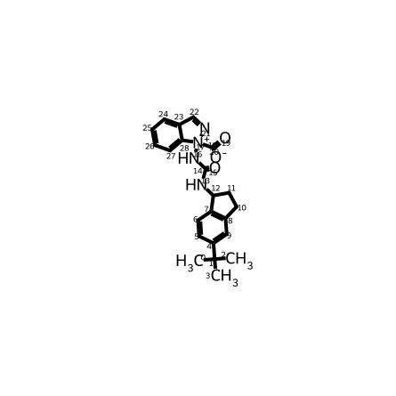 CC(C)(C)c1ccc2c(c1)CCC2NC(=O)N[N+]1(C(=O)[O-])N=Cc2ccccc21